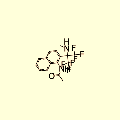 CNC(c1ccc2ccccc2c1NC(C)=O)(C(F)(F)F)C(F)(F)F